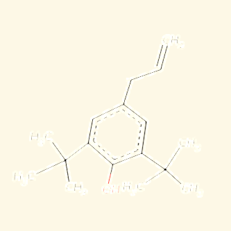 C=C[CH]c1cc(C(C)(C)C)c(O)c(C(C)(C)C)c1